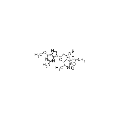 COc1nc(N)nc2c1ncn2[C@@H](CN=[N+]=[N-])O[C@@H]1COP(=O)(OC(C)C)OC1C